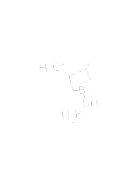 BBB1CCC(C)C1